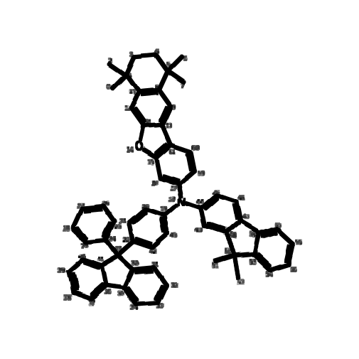 CC1(C)CCC(C)(C)c2cc3c(cc21)oc1cc(N(c2ccc(C4(c5ccccc5)c5ccccc5-c5ccccc54)cc2)c2ccc4c(c2)C(C)(C)c2ccccc2-4)ccc13